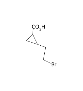 O=C(O)C1CC1CCBr